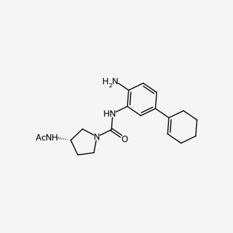 CC(=O)N[C@H]1CCN(C(=O)Nc2cc(C3=CCCCC3)ccc2N)C1